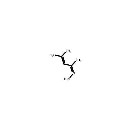 CC(C)=C/C(C)=N\N